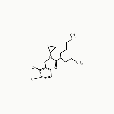 CCCCCC(CCC)C(=O)N(Cc1cccc(Cl)c1Cl)C1CC1